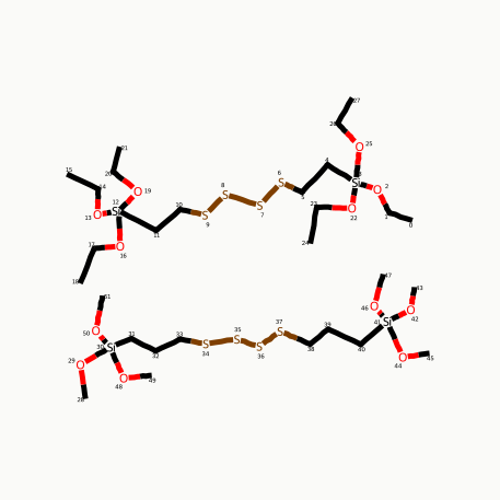 CCO[Si](CCSSSSCC[Si](OCC)(OCC)OCC)(OCC)OCC.CO[Si](CCCSSSSCCC[Si](OC)(OC)OC)(OC)OC